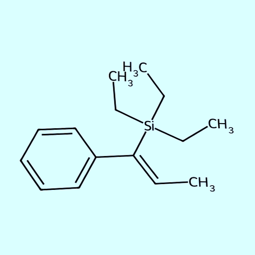 CC=C(c1ccccc1)[Si](CC)(CC)CC